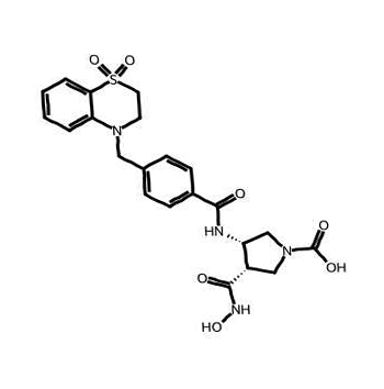 O=C(N[C@@H]1CN(C(=O)O)C[C@@H]1C(=O)NO)c1ccc(CN2CCS(=O)(=O)c3ccccc32)cc1